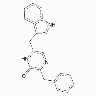 O=c1[nH]c(Cc2c[nH]c3ccccc23)cnc1Cc1ccccc1